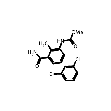 COC(=O)Nc1cccc(C(N)=O)c1C.Clc1cccc(Cl)c1